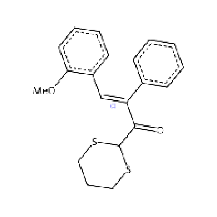 COc1ccccc1/C=C(/C(=O)C1SCCCS1)c1ccccc1